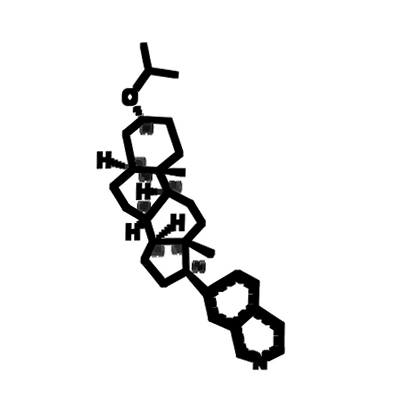 CC(C)O[C@@H]1CC[C@@]2(C)[C@@H](CC[C@@H]3[C@@H]2CC[C@]2(C)[C@@H](c4ccc5ccncc5c4)CC[C@@H]32)C1